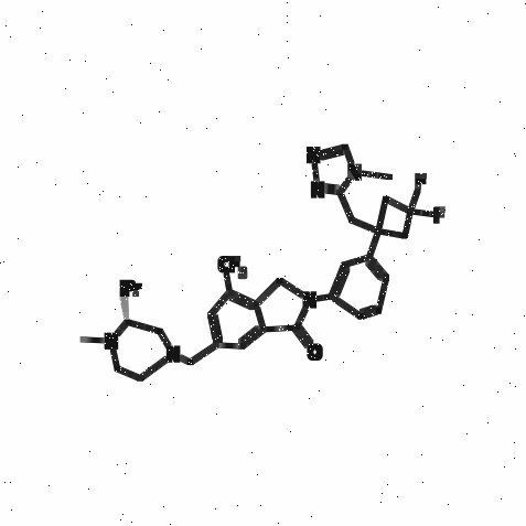 CC(C)[C@@H]1CN(Cc2cc3c(c(C(F)(F)F)c2)CN(c2cccc(C4(Cc5nncn5C)CC(F)(F)C4)c2)C3=O)CCN1C